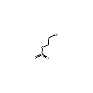 [O]=[U](=[O])[O]CCO